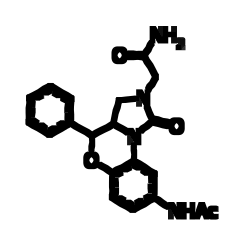 CC(=O)Nc1ccc2c(c1)N1C(=O)N(CC(N)=O)CC1C(c1ccccc1)O2